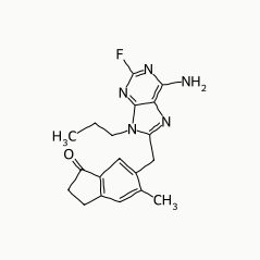 CCCn1c(Cc2cc3c(cc2C)CCC3=O)nc2c(N)nc(F)nc21